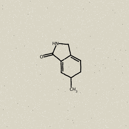 CC1C=C2C(=O)NCC2=CC1